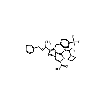 CC(OCc1ccccc1)c1nc2nc(C(=O)O)nc(NC(C)C3CCC3)c2n1Cc1ccc(C(F)(F)F)cc1